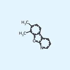 Cc1ccc2c(oc3ncccc32)c1C